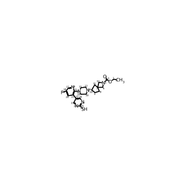 CCOC(=O)N1CC2(CCC(=[N+]3CCN(c4ncc(F)cc4-c4cnc(S)nc4)CC3)C2)C1